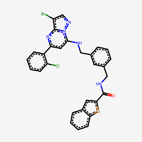 O=C(NCc1cccc(CNc2cc(-c3ccccc3Cl)nc3c(Br)cnn23)c1)c1cc2ccccc2s1